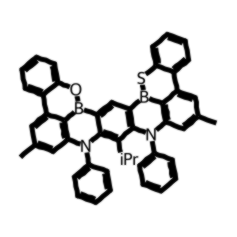 Cc1cc2c3c(c1)N(c1ccccc1)c1c(cc4c(c1C(C)C)N(c1ccccc1)c1cc(C)cc5c1B4Sc1ccccc1-5)B3Oc1ccccc1-2